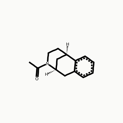 CC(=O)N1CC[C@@H]2C[C@H]1Cc1ccccc12